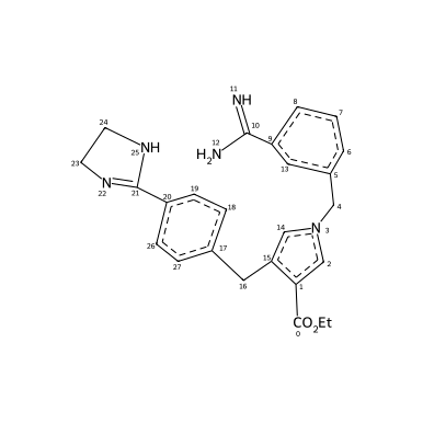 CCOC(=O)c1cn(Cc2cccc(C(=N)N)c2)cc1Cc1ccc(C2=NCCN2)cc1